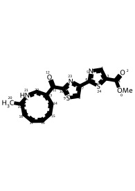 COC(=O)c1cnc(-c2csc(C(=O)c3cccccc(C)[nH]c3)n2)s1